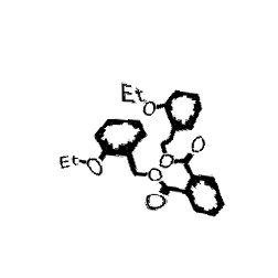 CCOc1ccccc1COC(=O)c1ccccc1C(=O)OCc1ccccc1OCC